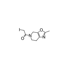 Cc1nc2c(o1)CN(C(=O)CI)CC2